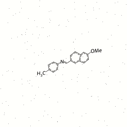 COc1ccc2cc(C=Nc3ccc(C)cc3)ccc2c1